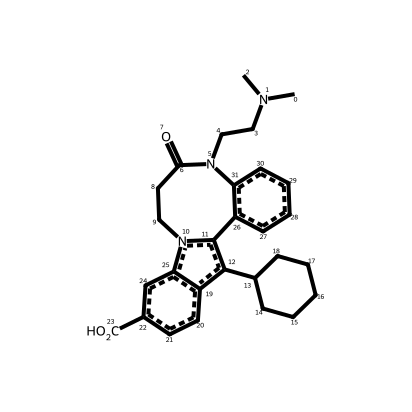 CN(C)CCN1C(=O)CCn2c(c(C3CCCCC3)c3ccc(C(=O)O)cc32)-c2ccccc21